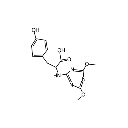 COc1nc(NC(Cc2ccc(O)cc2)C(=O)O)nc(OC)n1